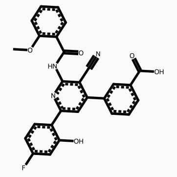 COc1ccccc1C(=O)Nc1nc(-c2ccc(F)cc2O)cc(-c2cccc(C(=O)O)c2)c1C#N